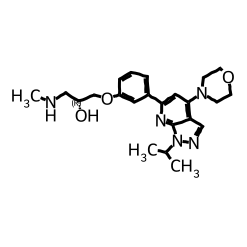 CNC[C@@H](O)COc1cccc(-c2cc(N3CCOCC3)c3cnn(C(C)C)c3n2)c1